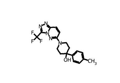 Cc1ccc(C2(O)CCN(c3ccc4nnc(C(F)(F)F)n4n3)CC2)cc1